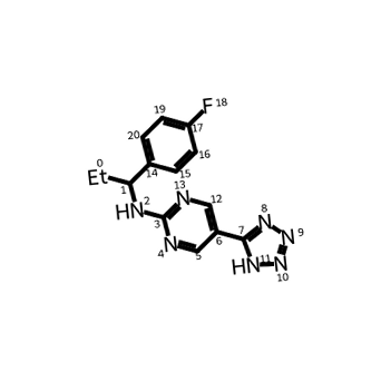 CCC(Nc1ncc(-c2nnn[nH]2)cn1)c1ccc(F)cc1